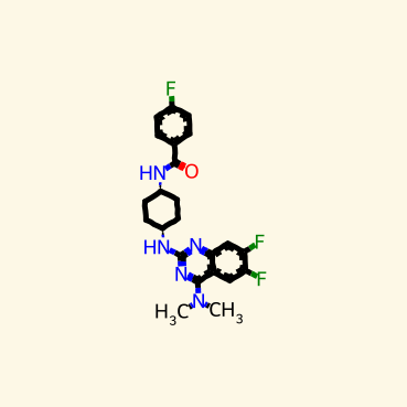 CN(C)c1nc(N[C@H]2CC[C@@H](NC(=O)c3ccc(F)cc3)CC2)nc2cc(F)c(F)cc12